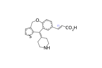 O=C(O)/C=C/c1ccc2c(c1)C(=C1CCNCC1)c1sccc1CO2